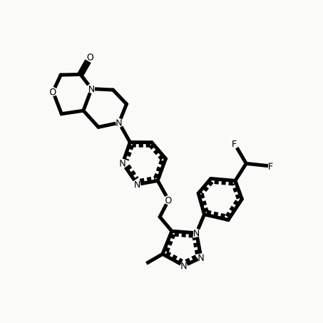 Cc1nnn(-c2ccc(C(F)F)cc2)c1COc1ccc(N2CCN3C(=O)COCC3C2)nn1